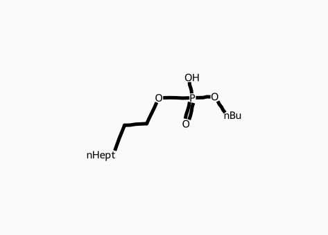 CCCCCCCCCOP(=O)(O)OCCCC